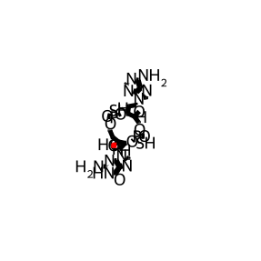 Nc1nc2c(ncn2[C@@H]2OC3COP(=O)(S)O[C@H]4C[C@H](n5cnc6c(N)ncnc65)O[C@@H]4COP(=O)(S)O[C@@H]2[C@@H]3O)c(=O)[nH]1